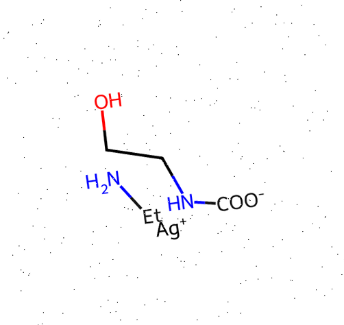 CCN.O=C([O-])NCCO.[Ag+]